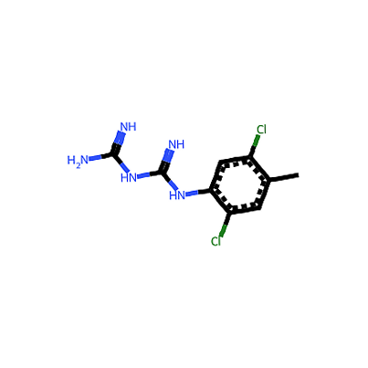 Cc1cc(Cl)c(NC(=N)NC(=N)N)cc1Cl